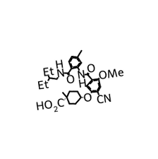 CCC(CC)CNC(=O)c1ccc(C)cc1NC(=O)c1cc(O[C@H]2CC[C@@](C)(C(=O)O)CC2)c(C#N)cc1OC